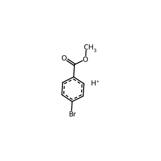 COC(=O)c1ccc(Br)cc1.[H+]